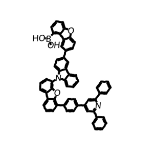 OB(O)c1cccc2oc3ccc(-c4ccc5c(c4)c4ccccc4n5-c4cccc5c4oc4c(-c6ccc(-c7cc(-c8ccccc8)nc(-c8ccccc8)c7)cc6)cccc45)cc3c12